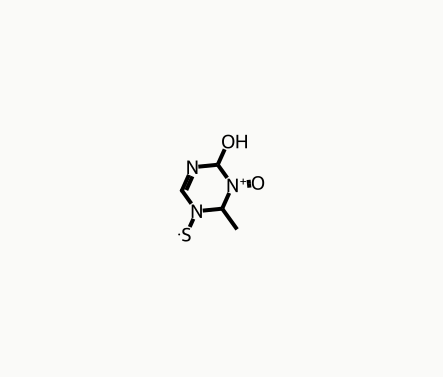 CC1N([S])C=NC(O)[N+]1=O